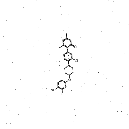 Cc1cc(=O)n(-c2ccc(N3CCC(Oc4ccc(C#N)c(F)c4)CC3)c(Cl)c2)c(C)n1